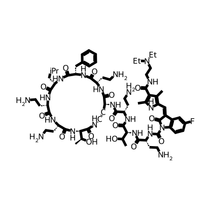 CCN(CC)CCNC(=O)c1c(C)[nH]c(/C=C2\C(=O)N(C(=O)N[C@H](CCN)C(=O)N[C@@H](C(=O)N[C@@H](CCN)C(=O)N[C@@H]3CCNC(=O)[C@H]([C@H](C)O)NC(=O)[C@H](CCN)NC(=O)[C@H](CCN)NC(=O)[C@H](CC(C)C)NC(=O)[C@H](Cc4ccccc4)NC(=O)[C@H](CCN)NC3=O)C(C)O)c3ccc(F)cc32)c1C